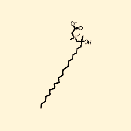 CCCCCCCCCCCCCCCCCCCC(C)(O)C[N+](C)(C)CC(=O)[O-]